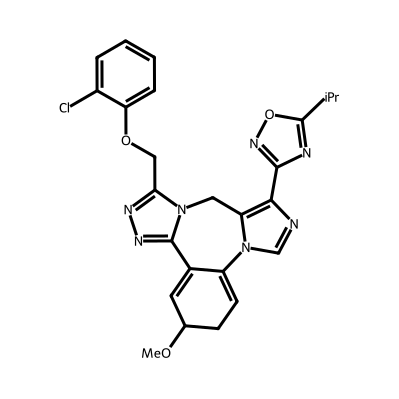 COC1C=C2C(=CC1)n1cnc(-c3noc(C(C)C)n3)c1Cn1c(COc3ccccc3Cl)nnc12